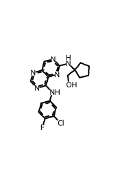 OCC1(Nc2ncc3ncnc(Nc4ccc(F)c(Cl)c4)c3n2)CCCC1